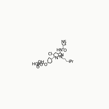 CC(C)CCCn1nc(NC(=O)c2cnsc2)c2cc(Cl)c(-c3ccc(OCOP(=O)(O)O)cc3)nc21